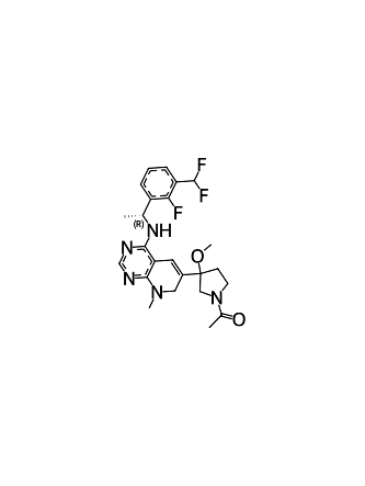 COC1(C2=Cc3c(N[C@H](C)c4cccc(C(F)F)c4F)ncnc3N(C)C2)CCN(C(C)=O)C1